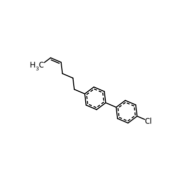 C/C=C\CCCc1ccc(-c2ccc(Cl)cc2)cc1